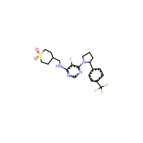 O=S1(=O)CCC(CNc2ncnc(N3CCCC3c3ccc(C(F)(F)F)cc3)c2F)CC1